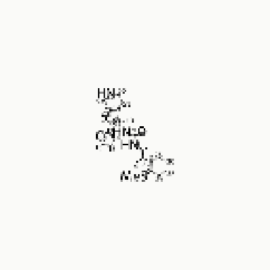 CSC1=C(/C(C)=C/NC(=O)NCc2c(-c3ccco3)sc3c2CCNC3)CCCC1